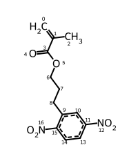 C=C(C)C(=O)OCCCc1cc([N+](=O)[O-])ccc1[N+](=O)[O-]